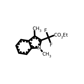 CCOC(=O)C(F)(F)c1c(C)c2ccccc2n1C